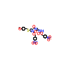 COc1ccc(CS[C@H]2C[C@@H](C(=O)N3CC(NC(=O)OCc4ccc([N+](=O)[O-])cc4)C3)N(C(=O)OCc3ccc([N+](=O)[O-])cc3)C2)cc1